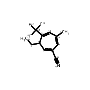 CCC1C=C(C#N)C=C(C)C=C1C(F)(F)F